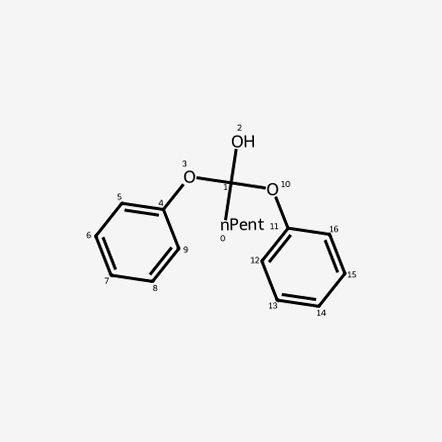 CCCCCC(O)(Oc1ccccc1)Oc1ccccc1